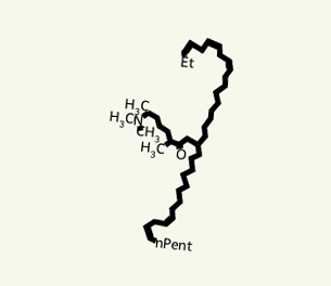 CC/C=C\C/C=C\C/C=C\CCCCCCCCC(CCCCCCCC/C=C\C/C=C\CCCCC)CC(=O)C(C)CCCC(C)N(C)C